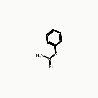 CCN(N)Sc1ccccc1